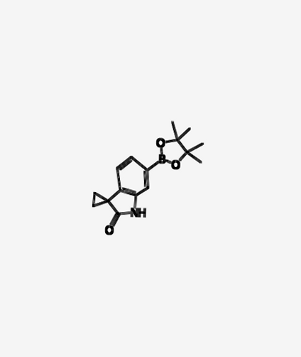 CC1(C)OB(c2ccc3c(c2)NC(=O)C32CC2)OC1(C)C